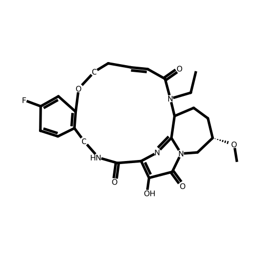 CCN1C(=O)/C=C/CCOc2cc(F)ccc2CNC(=O)c2nc3n(c(=O)c2O)C[C@@H](OC)CCC31